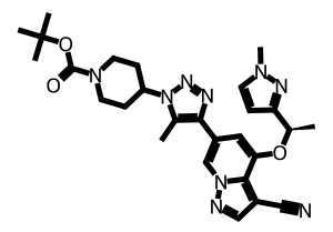 Cc1c(-c2cc(O[C@H](C)c3ccn(C)n3)c3c(C#N)cnn3c2)nnn1C1CCN(C(=O)OC(C)(C)C)CC1